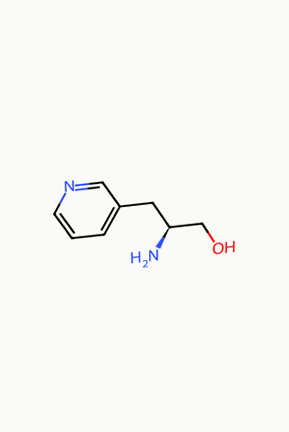 N[C@H](CO)Cc1cccnc1